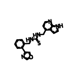 S=C(NCc1ccccc1-c1cocn1)NCc1ccnc2[nH]ccc12